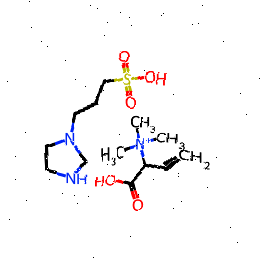 C=CC(C(=O)O)[N+](C)(C)C.O=S(=O)(O)CCCN1CCNC1